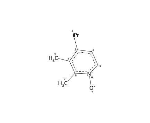 Cc1c(C(C)C)cc[n+]([O-])c1C